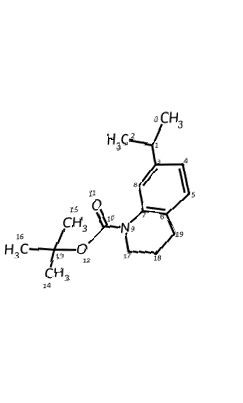 CC(C)c1ccc2c(c1)N(C(=O)OC(C)(C)C)CCC2